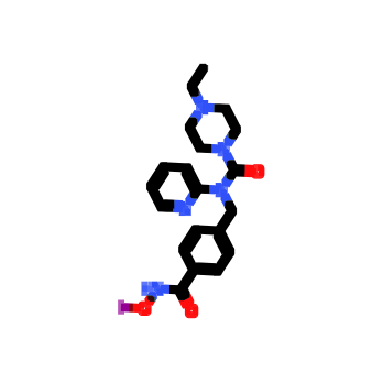 CCN1CCN(C(=O)N(Cc2ccc(C(=O)NOI)cc2)c2ccccn2)CC1